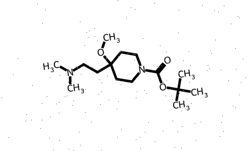 COC1(CCN(C)C)CCN(C(=O)OC(C)(C)C)CC1